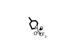 CC1CCN(S(=O)(=O)C(F)(F)F)CC1